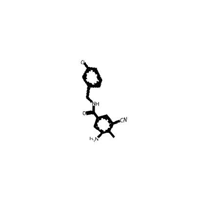 Cc1c(N)cc(C(=O)NCc2cccc(Cl)c2)cc1C#N